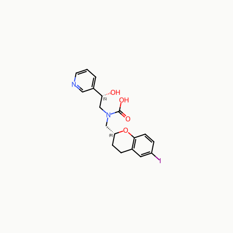 O=C(O)N(C[C@H]1CCc2cc(I)ccc2O1)C[C@@H](O)c1cccnc1